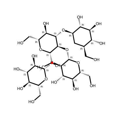 CC(C)[C@@H]1O[C@H](CO)[C@@H](O)[C@H](O[C@@H]2C[C@H](CO)[C@@H](O)[C@H](O)[C@H]2O)[C@H]1O[C@@H]1O[C@H](CO)[C@@H](O)[C@H](O)[C@H]1O[C@@H]1O[C@H](CO)[C@@H](O)[C@H](O)[C@H]1O